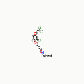 CCCCC/C=N/OCCCCCOc1c(C)cc(OCC=C(Cl)Cl)cc1Cl